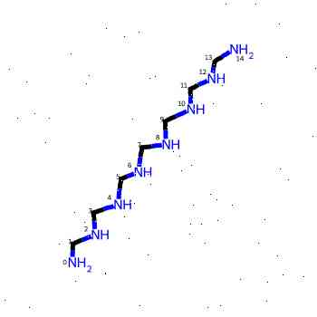 NCNCNCNCNCNCNCN